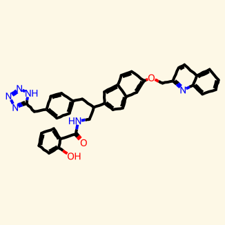 O=C(NCC(Cc1ccc(Cc2nnn[nH]2)cc1)c1ccc2cc(OCc3ccc4ccccc4n3)ccc2c1)c1ccccc1O